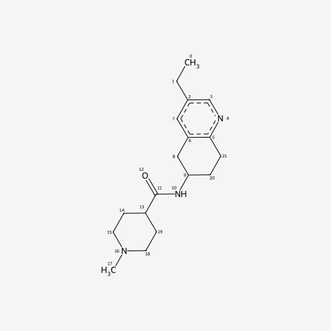 CCc1cnc2c(c1)CC(NC(=O)C1CCN(C)CC1)CC2